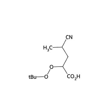 CC(C#N)CC(OOC(C)(C)C)C(=O)O